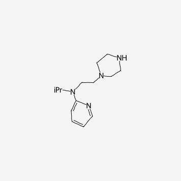 CC(C)N(CCN1CCNCC1)c1ccccn1